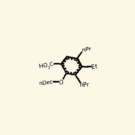 CCCCCCCCCCOc1c(C(=O)O)cc(CCC)c(CC)c1CCC